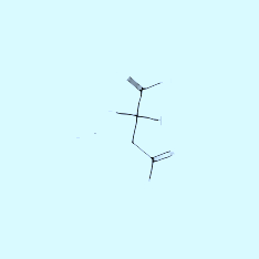 O=C([O-])CC(F)(F)C(=O)[O-].[K+].[K+]